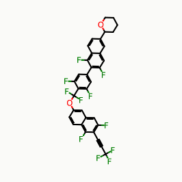 Fc1cc2cc(OC(F)(F)c3c(F)cc(-c4c(F)cc5cc(C6CCCCO6)ccc5c4F)cc3F)ccc2c(F)c1C#CC(F)(F)F